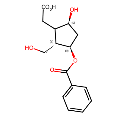 O=C(O)CC1[C@@H](CO)[C@H](OC(=O)c2ccccc2)C[C@@H]1O